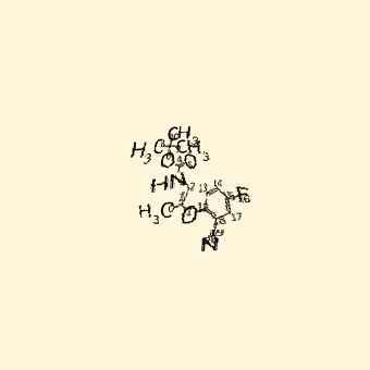 C[C@@H](CNC(=O)OC(C)(C)C)Oc1ccc(F)cc1C#N